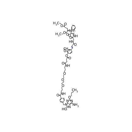 CCCCOc1nc(N)c2nc(O)n(Cc3ccc(C(=O)NCCCOCCOCCOCCCNC(=O)CCC(=O)Oc4ccc(/C=C/C(=O)NCC(=O)N[C@@H](Cc5ccccc5)C(=O)N[C@H](CCC(=O)OCC)C(=O)OCC)cc4OC)cc3)c2n1